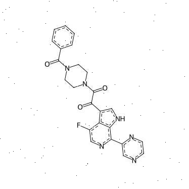 O=C(C(=O)N1CCN(C(=O)c2ccccc2)CC1)c1c[nH]c2c(-c3cnccn3)ncc(F)c12